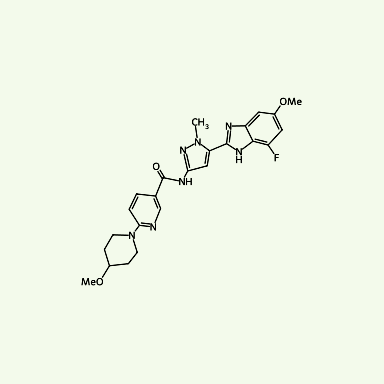 COc1cc(F)c2[nH]c(-c3cc(NC(=O)c4ccc(N5CCC(OC)CC5)nc4)nn3C)nc2c1